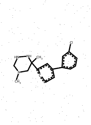 CN1CNNC(C)(c2cccc(-c3cccc(Cl)c3)c2)C1